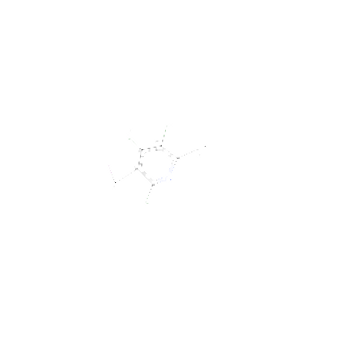 N#Cc1nc(Cl)c(CI)c(Cl)c1Cl